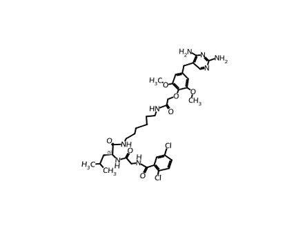 COc1cc(Cc2cnc(N)nc2N)cc(OC)c1OCC(=O)NCCCCCCNC(=O)[C@H](CC(C)C)NC(=O)CNC(=O)c1cc(Cl)ccc1Cl